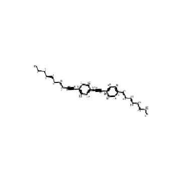 CCCCCCCCC#Cc1ccc(C#Cc2ccc(CCCCCCCC)cc2)cc1